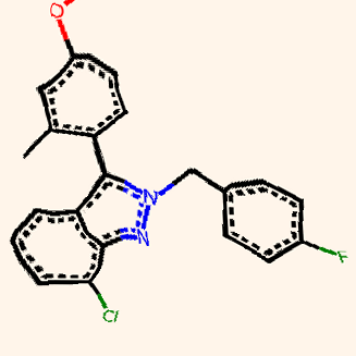 COc1ccc(-c2c3cccc(Cl)c3nn2Cc2ccc(F)cc2)c(C)c1